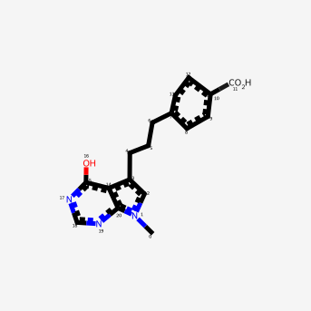 Cn1cc(CCCc2ccc(C(=O)O)cc2)c2c(O)ncnc21